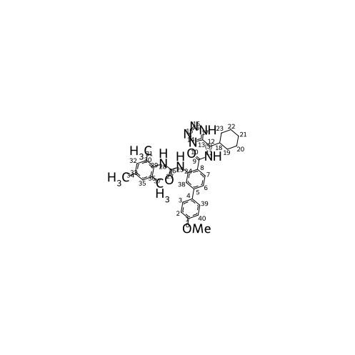 COc1ccc(-c2ccc(C(=O)N[C@H](c3nnn[nH]3)C3CCCCC3)c(NC(=O)Nc3c(C)cc(C)cc3C)c2)cc1